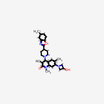 Cc1ccc2oc(C3CCN(c4c(C#N)c(=O)n(C)c5cc(N6CC(O)C6)c(C)cc45)CC3)nc2c1